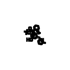 Cc1cccc(C[C@H](CC(=O)O)C(=O)N(C)[C@H]2CCCC[C@@H]2NC(=O)OC(C)(C)C)n1